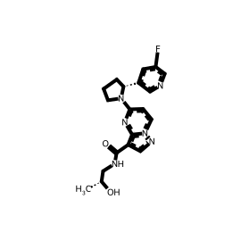 C[C@@H](O)CNC(=O)c1cnn2ccc(N3CCC[C@@H]3c3cncc(F)c3)nc12